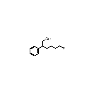 OCC(CCCCF)c1ccccc1